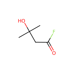 CC(C)(O)CC(=O)F